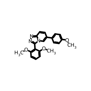 COc1ccc(-c2ccc3nnc(-c4c(OC)cccc4OC)n3c2)cc1